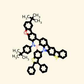 CC(C)(C)c1ccc(N2B3c4cc5sc(-c6ccccc6)c(-c6ccccc6)c5cc4-n4c5cc6sc7ccccc7c6cc5c5ccc(c3c54)-c3cc4c(cc32)oc2ccc(C(C)(C)C)cc24)cc1